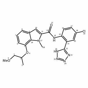 COCC(C)Oc1cccc2cc(C(=O)Nc3ccc(Cl)cc3-c3nnn[nH]3)n(C)c12